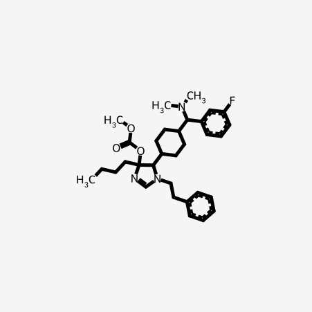 CCCCC1(OC(=O)OC)N=CN(CCc2ccccc2)C1C1CCC(C(c2cccc(F)c2)N(C)C)CC1